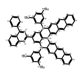 CC(C)(C)c1cc(N2c3cc4cc5ccccc5cc4cc3B3c4cc5cc6ccccc6cc5cc4N(c4cc(C(C)(C)C)cc(C(C)(C)C)c4)c4cc(-c5nc(-c6ccccc6)c6ccccc6n5)cc2c43)cc(C(C)(C)C)c1